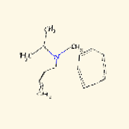 C=CCN(C)C(C)C.c1ccccc1